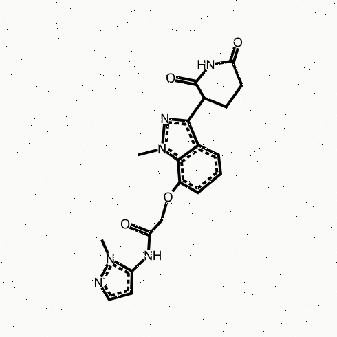 Cn1nccc1NC(=O)COc1cccc2c(C3CCC(=O)NC3=O)nn(C)c12